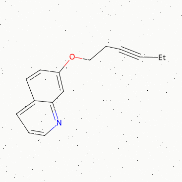 CCC#CCCOc1ccc2cccnc2c1